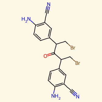 N#Cc1cc(C(CBr)C(=O)C(CBr)c2ccc(N)c(C#N)c2)ccc1N